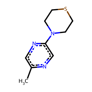 Cc1cnc(N2CCSCC2)cn1